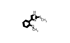 COc1ccccc1-c1c[nH]c(SC)n1